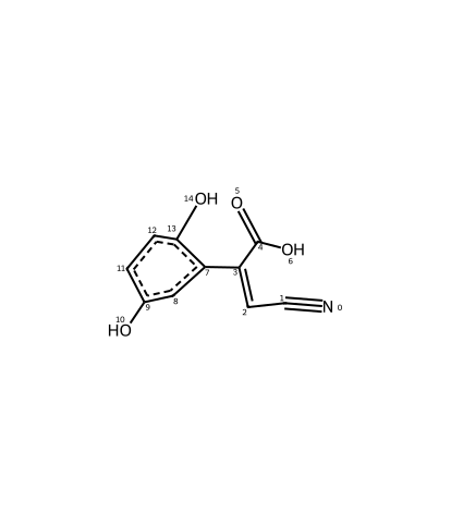 N#CC=C(C(=O)O)c1cc(O)ccc1O